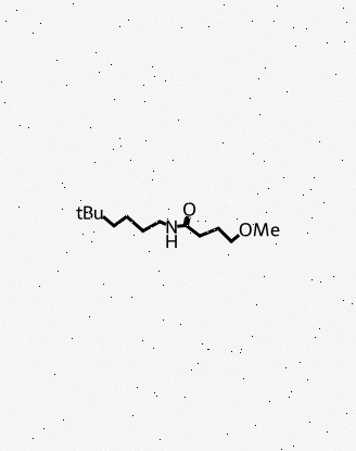 COCCCC(=O)NCCCCC(C)(C)C